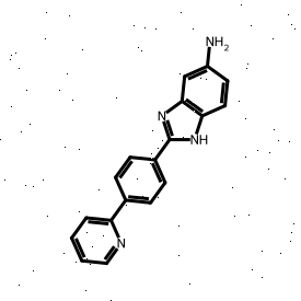 Nc1ccc2[nH]c(-c3ccc(-c4ccccn4)cc3)nc2c1